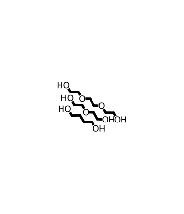 OCCCCO.OCCOCCO.OCCOCCOCCO